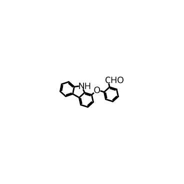 O=Cc1ccccc1Oc1cccc2c1[nH]c1ccccc12